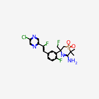 CC1(C)C(N)=NC(CF)(c2cc(C=C(F)c3cnc(Cl)cn3)ccc2F)CS1(=O)=O